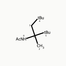 CC(=O)NC(C)(CC(C)(C)C)C(C)(C)C